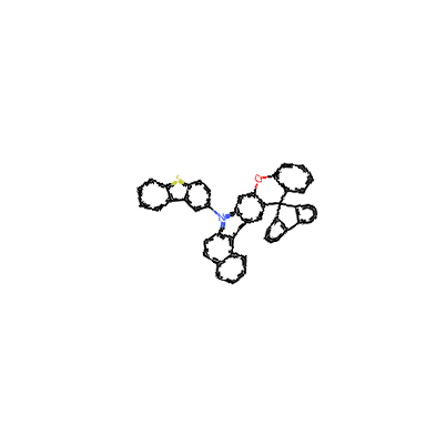 c1ccc2c(c1)Oc1cc3c(cc1C21c2ccccc2-c2ccccc21)c1c2ccccc2ccc1n3-c1ccc2sc3ccccc3c2c1